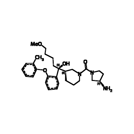 COCCCC[C@@](O)(c1ccccc1Oc1ccccc1C)[C@@H]1CCCN(C(=O)N2CC[C@@H](N)C2)C1